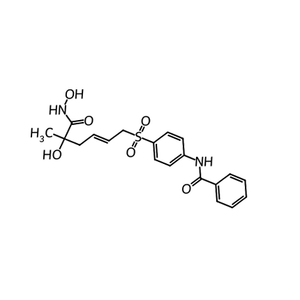 CC(O)(CC=CCS(=O)(=O)c1ccc(NC(=O)c2ccccc2)cc1)C(=O)NO